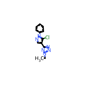 CCn1nnc(-c2cnn(-c3ccccc3)c2Cl)n1